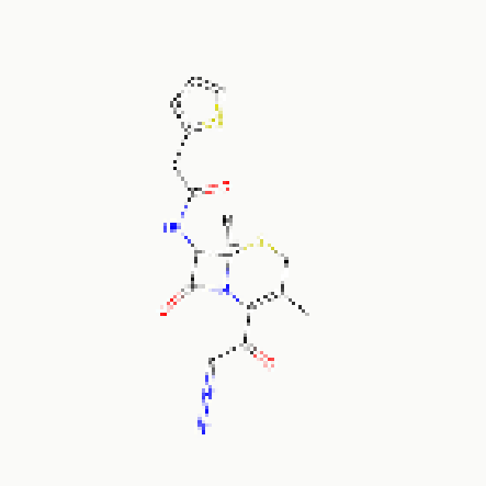 CC1=C(C(=O)C=[N+]=[N-])N2C(=O)C(NC(=O)Cc3cccs3)[C@H]2SC1